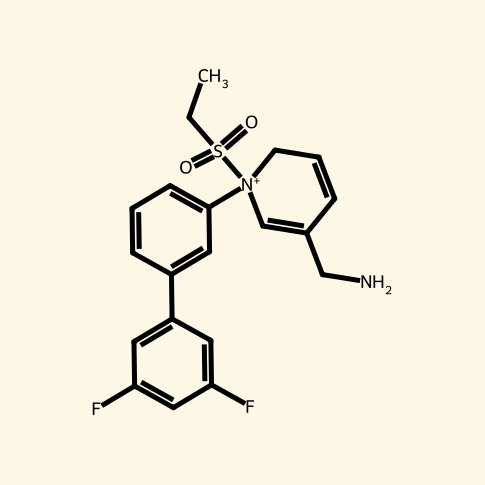 CCS(=O)(=O)[N+]1(c2cccc(-c3cc(F)cc(F)c3)c2)C=C(CN)C=CC1